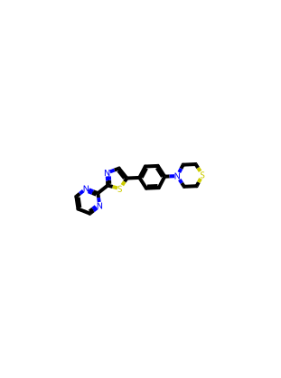 c1cnc(-c2ncc(-c3ccc(N4CCSCC4)cc3)s2)nc1